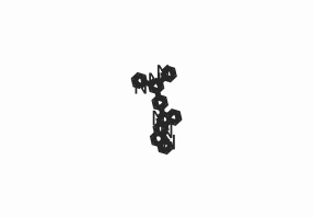 c1ccc(-c2cc(-c3ccc(-c4nc5cc6ccc7cccnc7c6nc5c5ccccc45)cc3)cc(-c3ccccn3)n2)nc1